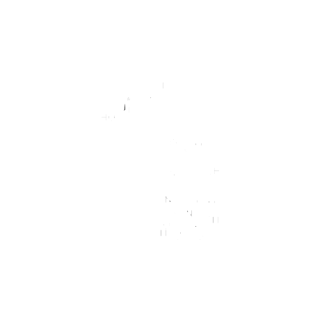 Cc1c(C(=O)OCCCC(C)(C)O[C@@H](CO)c2ccccc2)sc2[nH]c(=O)n(C(C)(C)C(=O)O)c(=O)c12